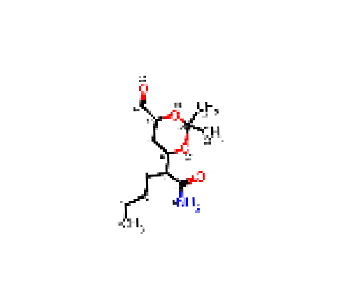 CCCCC(C(N)=O)[C@H]1C[C@@H](C=O)OC(C)(C)O1